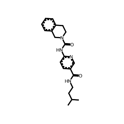 CC(C)CCNC(=O)c1ccc(NC(=O)N2CCc3ccccc3C2)nc1